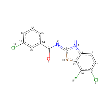 O=C(/N=c1/[nH]c2ccc(Cl)c(F)c2s1)c1cccc(Cl)c1